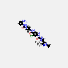 Cn1c(-c2cn(C3CC3)nc2C(F)(F)F)cnc1C(=O)Nc1ccc(C(=O)NC2[C@H]3CN(C(=O)N[C@@H]4CCC[C@@H]4N)C[C@@H]23)c(Cl)c1